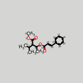 COC(=O)C(C(C)C)C(C)OC(=O)C=Cc1ccccc1